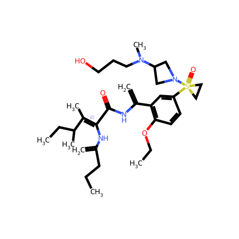 C=C(CCC)N/C(C(=O)NC(=C)c1cc(S2(=O)(N3CC(N(C)CCCO)C3)CC2)ccc1OCC)=C(/C)C(C)CC